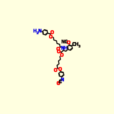 Cc1ccc(CC(NC(=O)CCCCCOC(=O)c2ccc(N)cc2)C(=O)OCCCCCC(=O)Oc2ccc(N=C=O)cc2)cc1OC#N